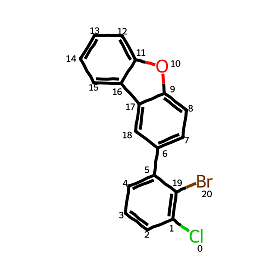 Clc1cccc(-c2ccc3oc4ccccc4c3c2)c1Br